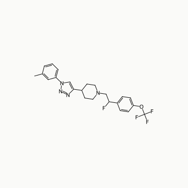 Cc1cccc(-n2cc(C3CCN(CC(F)c4ccc(OC(F)(F)F)cc4)CC3)nn2)c1